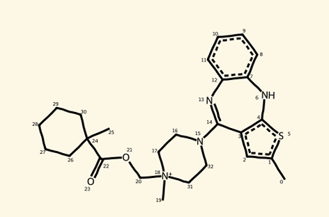 Cc1cc2c(s1)Nc1ccccc1N=C2N1CC[N+](C)(COC(=O)C2(C)CCCCC2)CC1